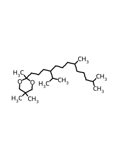 CC(C)CCCC(C)CCCC(CCCC1(C)OCC(C)(C)CO1)C(C)C